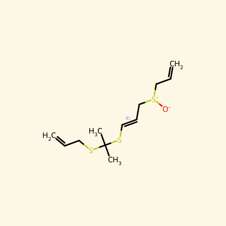 C=CCSC(C)(C)S/C=C/C[S+]([O-])CC=C